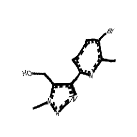 Cc1nc(-c2nnn(C)c2CO)ccc1Br